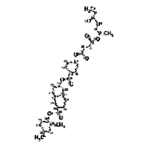 C=CC(=O)OCC(C)OC(=O)CCC(=O)Oc1ccc(C(=O)Oc2ccc3cc(C(=O)Oc4ccc(C)cc4C)ccc3c2)cc1